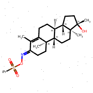 CC1=C2CC[C@@H]3[C@H](CC[C@@]4(C)[C@H]3CC[C@]4(C)O)[C@@]2(C)CC/C1=N\OS(=O)(=O)C(C)C